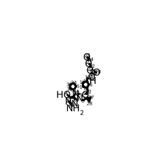 Nc1nc(O)c2c(n1)N(CC1(OCC3CCC(CO[PH](=O)OCOC=O)C3)CC1)CN2C1CCCC1